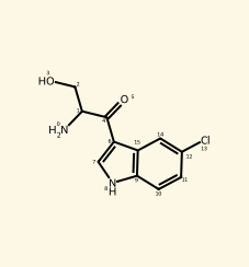 NC(CO)C(=O)c1c[nH]c2ccc(Cl)cc12